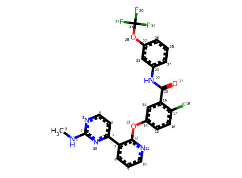 CNc1nccc(-c2cccnc2Oc2ccc(F)c(C(=O)Nc3cccc(OC(F)(F)F)c3)c2)n1